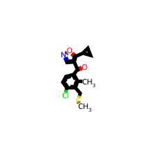 CSCc1c(Cl)ccc(C(=O)c2cnoc2C2CC2)c1C